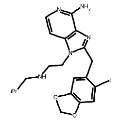 CC(C)CNCCn1c(Cc2cc3c(cc2I)OCO3)nc2c(N)nccc21